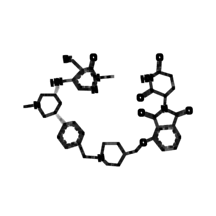 CN1C[C@H](Nc2cnn(C)c(=O)c2Br)C[C@H](c2ccc(CN3CCC(COc4cccc5c4C(=O)N(C4CCC(=O)NC4=O)C5=O)CC3)cc2)C1